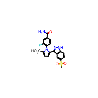 CS(=O)(=O)c1ccc2[nH]nc(-c3ccc(C(=O)O)n3-c3ccc(C(N)=O)cc3F)c2c1